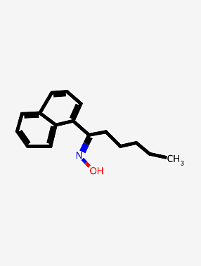 CCCCCC(=NO)c1cccc2ccccc12